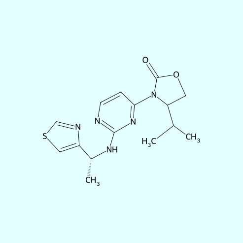 CC(C)C1COC(=O)N1c1ccnc(N[C@H](C)c2cscn2)n1